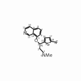 CNCC[C@@H](Oc1cccc2ccncc12)c1ccc(F)s1